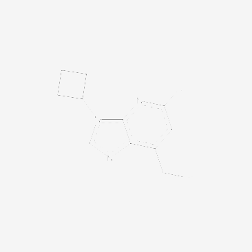 Clc1cc(CBr)c2ncn(C3CCC3)c2n1